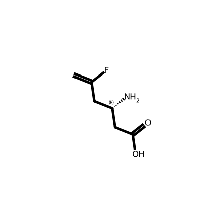 C=C(F)C[C@H](N)CC(=O)O